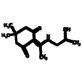 CC(NCC(C)O)=C1C(=O)CC(C)(C)CC1=O